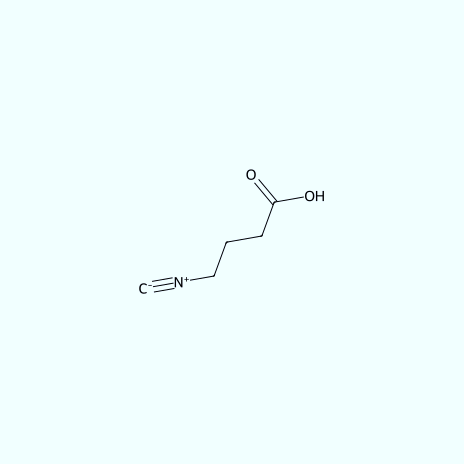 [C-]#[N+]CCCC(=O)O